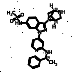 C[C@H](Nc1cc(-n2nc(N3C[C@@H]4C[C@H]3CN4)c3ccc(NS(C)(=O)=O)cc32)ccn1)c1ccccc1